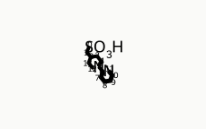 O=S(=O)(O)CC1CCN(c2ccccn2)CC1